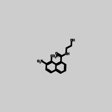 O=C(NCCO)c1cccc2ccc([N+](=O)[O-])c(C(=O)O)c12